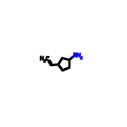 C=CC1CCC(N)C1